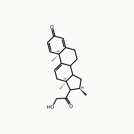 C[C@@H]1CC2C3CCC4=CC(=O)C=C[C@]4(C)C3=CC[C@]2(C)C1C(=O)CO